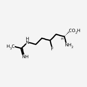 CC(=N)NCCC(F)C[C@@H](N)C(=O)O